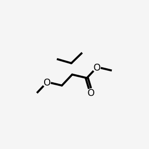 CCC.COCCC(=O)OC